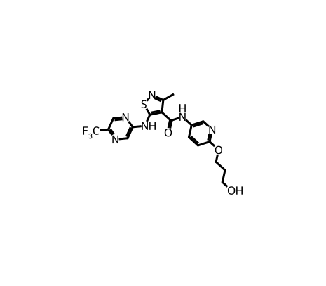 Cc1nsc(Nc2cnc(C(F)(F)F)cn2)c1C(=O)Nc1ccc(OCCCO)nc1